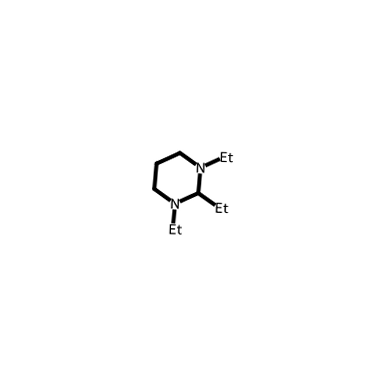 CCC1N(CC)CCCN1CC